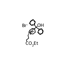 CCOC(=O)CCC[N+]12CCC(C(O)(c3ccccc3)c3ccccc3)(CC1)CC2.[Br-]